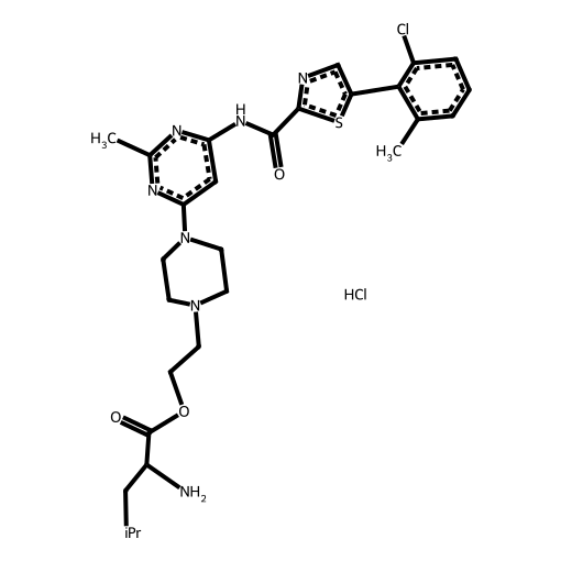 Cc1nc(NC(=O)c2ncc(-c3c(C)cccc3Cl)s2)cc(N2CCN(CCOC(=O)C(N)CC(C)C)CC2)n1.Cl